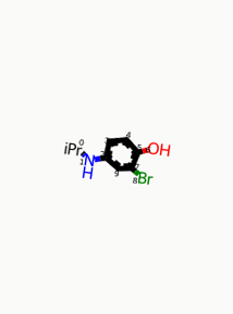 CC(C)Nc1ccc(O)c(Br)c1